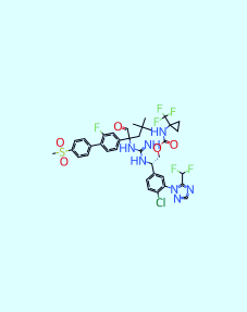 CC(C)(C)CC(C=O)(NC(=N)N[C@H](COC(=O)NC1(C(F)(F)F)CC1)c1ccc(Cl)c(-n2ncnc2C(F)F)c1)c1ccc(-c2ccc(S(C)(=O)=O)cc2)c(F)c1